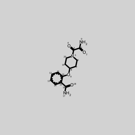 NC(=O)C(=O)N1CCC(Oc2ccccc2C(N)=O)CC1